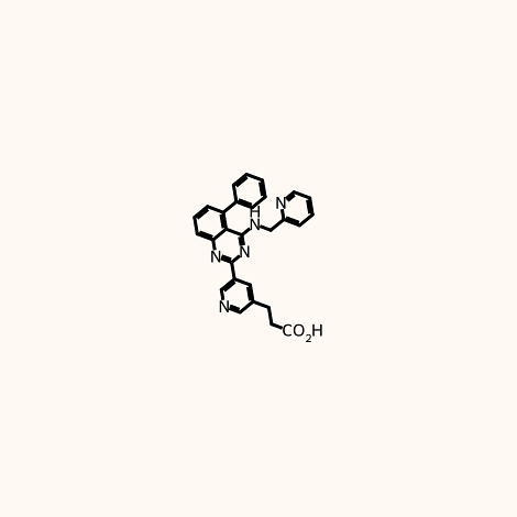 O=C(O)CCc1cncc(-c2nc(NCc3ccccn3)c3c(-c4ccccc4)cccc3n2)c1